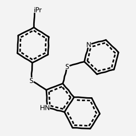 CC(C)c1ccc(Sc2[nH]c3ccccc3c2Sc2ccccn2)cc1